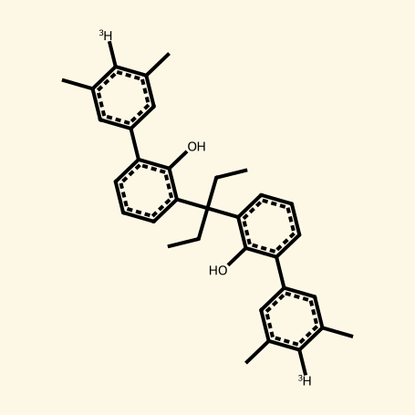 [3H]c1c(C)cc(-c2cccc(C(CC)(CC)c3cccc(-c4cc(C)c([3H])c(C)c4)c3O)c2O)cc1C